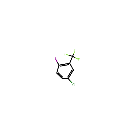 FC(F)(F)c1cc(Cl)ccc1I